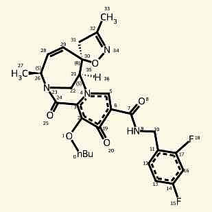 CCCCOc1c2n(cc(C(=O)NCc3ccc(F)cc3F)c1=O)[C@H]1CN(C2=O)[C@@H](C)C=C[C@]12CC(C)=NO2